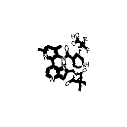 Cc1cc(C)c(NC(=O)C2CCNCC2)c(-c2ccnc3cc(CN4C(=O)C5C(C4=O)C5(C)C)sc23)n1.O=C(O)C(F)(F)F